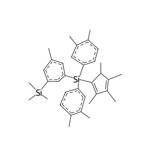 CC1=C(C)C(C)C([Si](c2cc(C)cc([Si](C)(C)C)c2)(c2ccc(C)c(C)c2)c2ccc(C)c(C)c2)=C1C